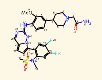 COc1cc(C2CCN(CC(N)=O)CC2)ccc1Nc1ncc2ccc(-c3cc(F)c(F)cc3N(C)S(C)(=O)=O)n2n1